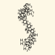 COC(=O)N[C@H](C(=O)N1CCC[C@H]1C(=O)Nc1ccc2c(c1)C(F)(F)c1cc(-c3ccc(-c4cnc([C@@H]5CCCN5C(=O)[C@@H](NC(=O)OC)C(C)C)[nH]4)cc3)ccc1-2)C(C)C